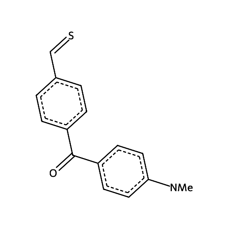 CNc1ccc(C(=O)c2ccc(C=S)cc2)cc1